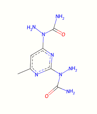 Cc1cc(N(N)C(N)=O)nc(N(N)C(N)=O)n1